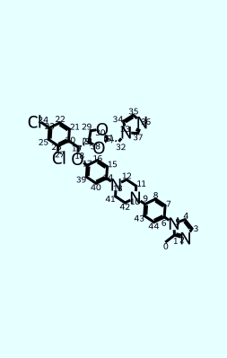 Cc1nccn1-c1ccc(N2CCN(c3ccc(OC(c4ccc(Cl)cc4Cl)[C@@H]4CO[C@H](Cn5ccnc5)O4)cc3)CC2)cc1